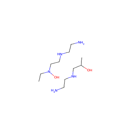 CC(O)CNCCN.CCN(O)CCNCCN